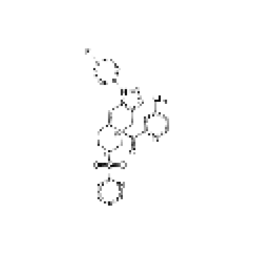 O=C(c1cc(C(F)(F)F)ccn1)[C@]12Cc3cnn(-c4ccc(F)cc4)c3C=C1CC[C@H](S(=O)(=O)c1ccccn1)C2